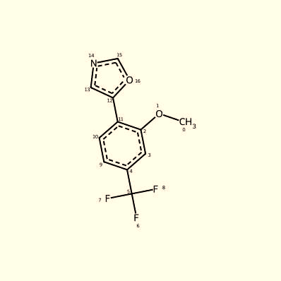 COc1cc(C(F)(F)F)ccc1-c1cnco1